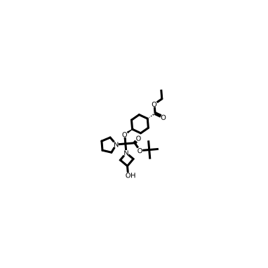 CCOC(=O)[C@H]1CC[C@H](OC(C(=O)OC(C)(C)C)(N2CCCC2)N2CC(O)C2)CC1